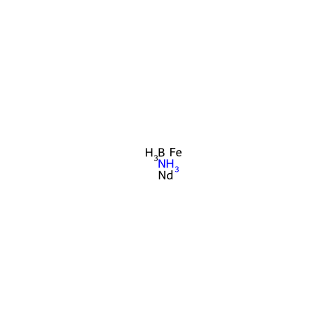 B.N.[Fe].[Nd]